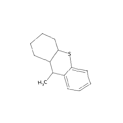 CC1c2ccccc2SC2CCCCC21